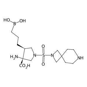 N[C@@]1(C(=O)O)CN(S(=O)(=O)N2CC3(CCNCC3)C2)C[C@@H]1CCCB(O)O